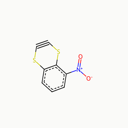 O=[N+]([O-])c1cccc2c1SC#CS2